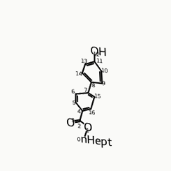 CCCCCCCOC(=O)c1ccc(-c2ccc(O)cc2)cc1